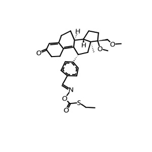 CCSC(=O)O/N=C/c1ccc([C@H]2C[C@@]3(C)[C@@H](CC[C@]3(COC)OC)[C@@H]3CCC4=CC(=O)CCC4=C32)cc1